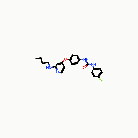 CCCCNc1cc(Oc2ccc(NC(=O)Nc3ccc(F)cc3)cc2)ccn1